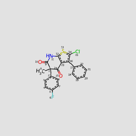 CC1(c2ccc(F)cc2)C(=O)Nc2sc(Cl)c(-c3ccccc3)c2C1=O